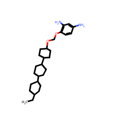 CCC1CCC(C2CCC(C3CCC(OCOc4ccc(N)cc4N)CC3)CC2)CC1